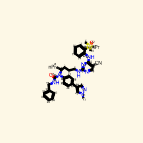 CCCC(CCCNc1ncc(C#N)c(Nc2ccccc2S(C)(C)(=O)C(C)C)n1)N(C(=O)NCc1ccccc1)c1ccc(-c2cnn(C)c2)cc1